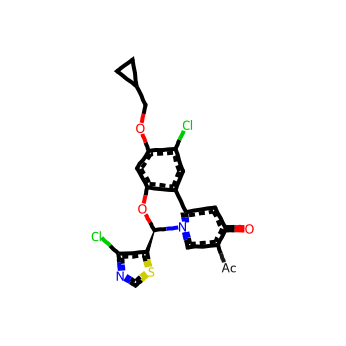 CC(=O)c1cn2c(cc1=O)-c1cc(Cl)c(OCC3CC3)cc1O[C@@H]2c1scnc1Cl